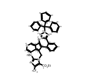 CCCCc1nc(C(F)(F)F)c(C(=O)OCC)n1Cc1c2ccocc-2c(Br)c1-c1ccccc1-c1nnn(C(c2ccccc2)(c2ccccc2)c2ccccc2)n1